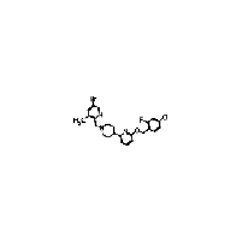 Cc1cc(Br)cnc1CN1CCC(c2cccc(OCc3ccc(Cl)cc3F)n2)CC1